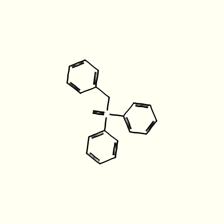 S=P(Cc1ccccc1)(c1ccccc1)c1ccccc1